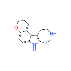 C1=C2OCCC=C2C2C(=C1)NC1=C2CCNCC1